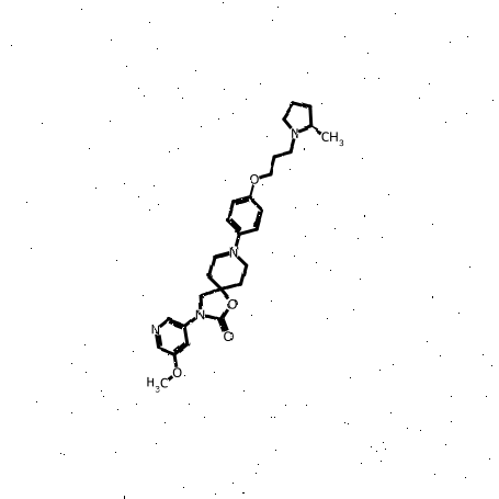 COc1cncc(N2CC3(CCN(c4ccc(OCCCN5CCC[C@H]5C)cc4)CC3)OC2=O)c1